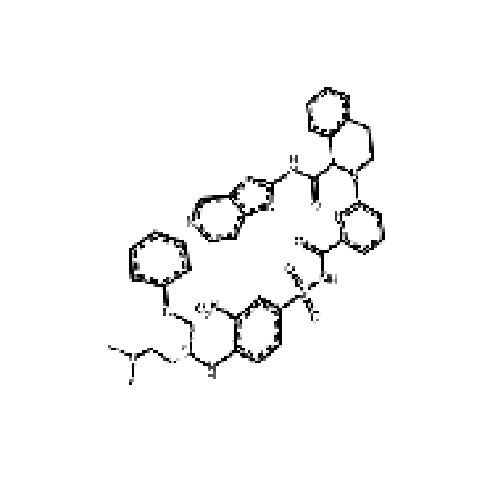 CN(C)CC[C@H](COc1ccccc1)Nc1ccc(S(=O)(=O)NC(=O)c2cccc(N3CCc4ccccc4C3C(=O)Nc3nc4ccncc4s3)n2)cc1[N+](=O)[O-]